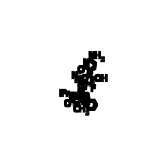 CC(C)OC(=O)[C@H](C)NP(=S)(OC[C@@]1(N=[N+]=[N-])O[C@@H](n2ccc(N)nc2=O)[C@H](O)[C@@H]1F)Oc1ccccc1